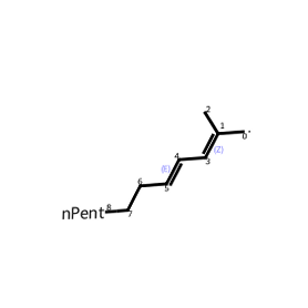 [CH2]/C(C)=C/C=C/CCCCCCC